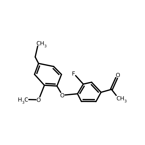 CCc1ccc(Oc2ccc(C(C)=O)cc2F)c(OC)c1